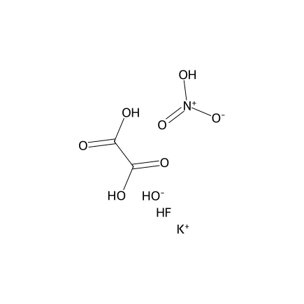 F.O=C(O)C(=O)O.O=[N+]([O-])O.[K+].[OH-]